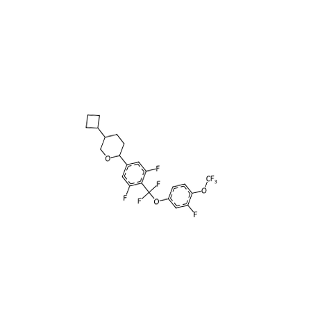 Fc1cc(OC(F)(F)c2c(F)cc(C3CCC(C4CCC4)CO3)cc2F)ccc1OC(F)(F)F